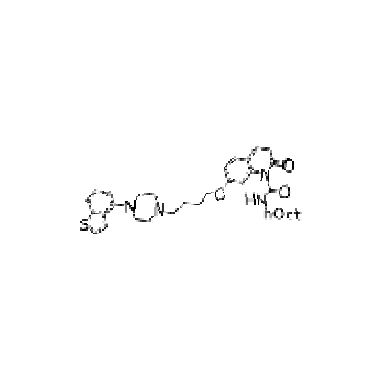 CCCCCCCCNC(=O)n1c(=O)ccc2ccc(OCCCCN3CCN(c4cccc5sccc45)CC3)cc21